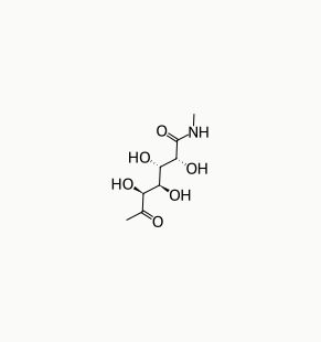 CNC(=O)[C@H](O)[C@@H](O)[C@@H](O)[C@H](O)C(C)=O